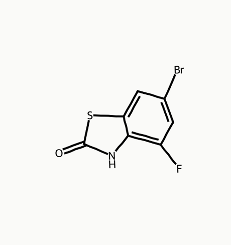 O=c1[nH]c2c(F)cc(Br)cc2s1